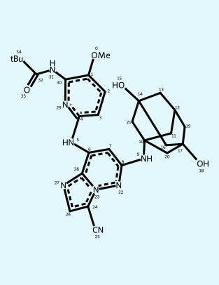 COc1ccc(Nc2cc(NC34CC5CC(O)(CC(O)(C5)C3)C4)nn3c(C#N)cnc23)nc1NC(=O)C(C)(C)C